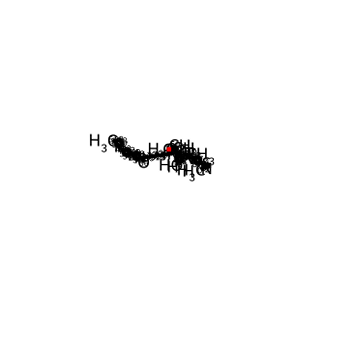 Cc1ncsc1-c1ccc([C@H](C)NC(=O)[C@@H]2C[C@@H](O)CN2C(=O)[C@@H](NC(=O)CCCCCCCCC(=O)N2CCN(c3ccc(CN4CCCC(C)C4)cc3)CC2)C(C)(C)C)cc1